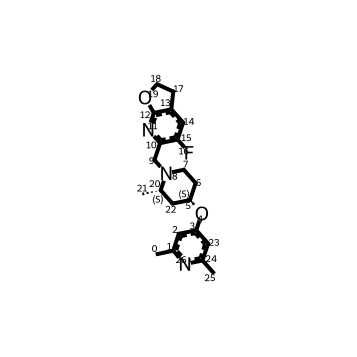 Cc1cc(O[C@H]2CCN(Cc3nc4c(cc3F)CCO4)[C@@H](C)C2)cc(C)n1